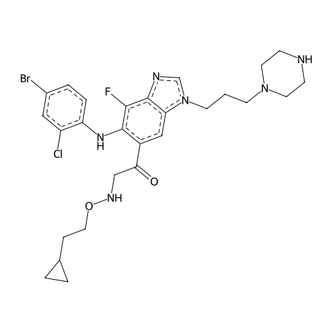 O=C(CNOCCC1CC1)c1cc2c(ncn2CCCN2CCNCC2)c(F)c1Nc1ccc(Br)cc1Cl